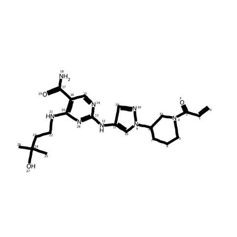 C=CC(=O)N1CCCC(n2cc(Nc3ncc(C(N)=O)c(NCCC(C)(C)O)n3)cn2)C1